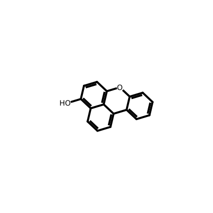 Oc1ccc2c3c(cccc13)-c1ccccc1O2